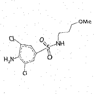 COCCCNS(=O)(=O)c1cc(Cl)c(N)c(Cl)c1